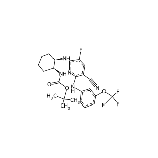 CC(C)(C)OC(=O)N[C@H]1CCCC[C@H]1Nc1nc(Nc2cccc(OC(F)(F)F)c2)c(C#N)cc1F